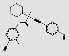 N#Cc1ccc(NC(=O)C(O)(C#Cc2ccc(C=O)cc2)C2CCCCC2)cc1Cl